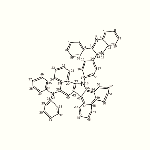 c1ccc(-c2nc3ccccc3nc2-c2ccc(-n3c4c5ccccc5c(N(c5ccccc5)c5ccccc5)cc4c4c5ccccc5c5ccccc5c43)cc2)cc1